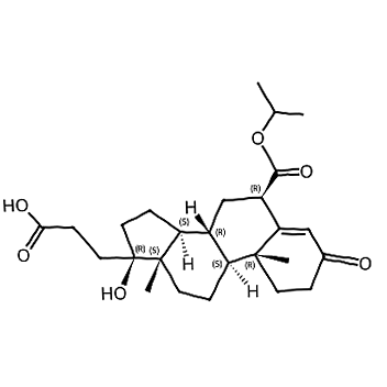 CC(C)OC(=O)[C@@H]1C[C@@H]2[C@H](CC[C@@]3(C)[C@H]2CC[C@@]3(O)CCC(=O)O)[C@@]2(C)CCC(=O)C=C12